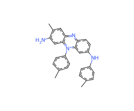 Cc1ccc(Nc2ccc3nc4cc(C)c(N)cc4[n+](-c4ccc(C)cc4)c3c2)cc1